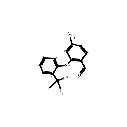 Cc1ccc(C=O)c(Nc2ccccc2C(F)(F)F)c1